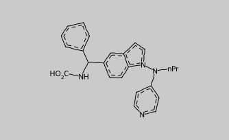 CCCN(c1ccncc1)n1ccc2cc(C(NC(=O)O)c3ccccc3)ccc21